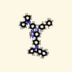 c1ccc(-c2ccc(N(c3ccc(-n4c5ccccc5c5ccccc54)cc3)c3ccc(-c4ccc(-n5c6ccccc6c6cc7ccccc7cc65)cc4)c4nsnc34)cc2)cc1